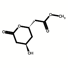 COC(=O)C[C@@H]1C[C@@H](O)CC(=O)O1